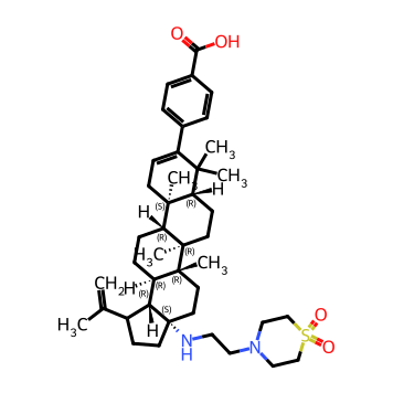 C=C(C)C1CC[C@]2(NCCN3CCS(=O)(=O)CC3)CC[C@]3(C)[C@H](CC[C@@H]4[C@@]5(C)CC=C(c6ccc(C(=O)O)cc6)C(C)(C)[C@@H]5CC[C@]43C)[C@@H]12